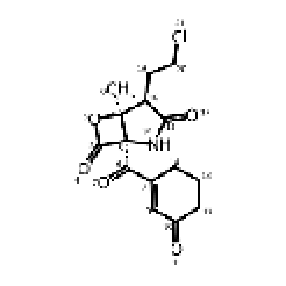 C[C@@]12OC(=O)[C@]1(C(=O)C1=CC(=O)CCC1)NC(=O)[C@@H]2CCCl